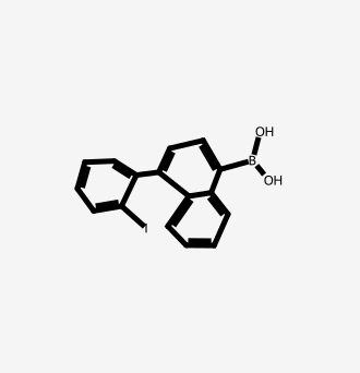 OB(O)c1ccc(-c2ccccc2I)c2ccccc12